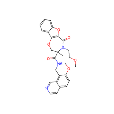 COCCN1C(=O)c2oc3ccccc3c2OCC1(C)C(=O)NCc1c(OC)ccc2ccncc12